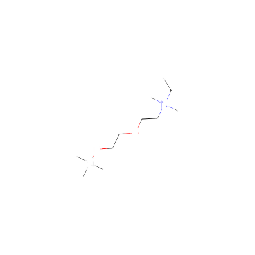 CC[N+](C)(C)CCOCCO[Si](C)(C)C